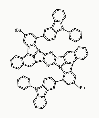 CC(C)(C)c1cc(-c2ccc3c(c2)c2ccccc2n3-c2ccccc2)c2c(c1)c1c3ccccc3cc3c4nc5c(nc4n2c31)c1cc2ccccc2c2c3cc(C(C)(C)C)cc(-c4ccc6c(c4)c4ccccc4n6-c4ccccc4)c3n5c12